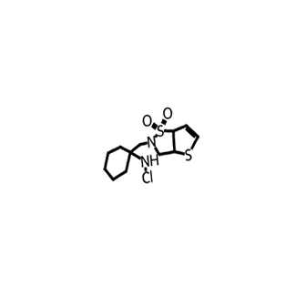 O=S1(=O)C2C=CSC2CN1CC1(NCl)CCCCC1